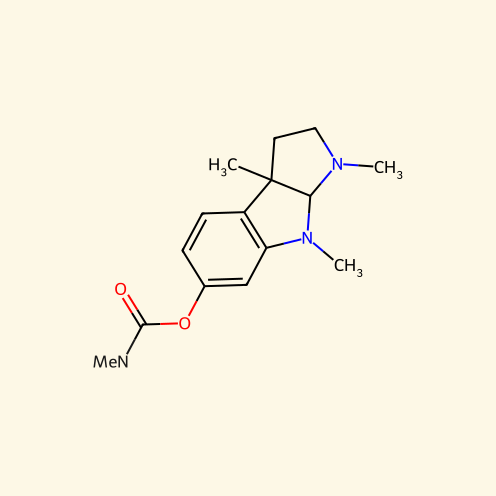 CNC(=O)Oc1ccc2c(c1)N(C)C1N(C)CCC21C